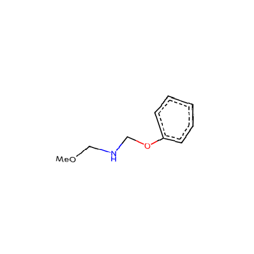 COCNCOc1ccccc1